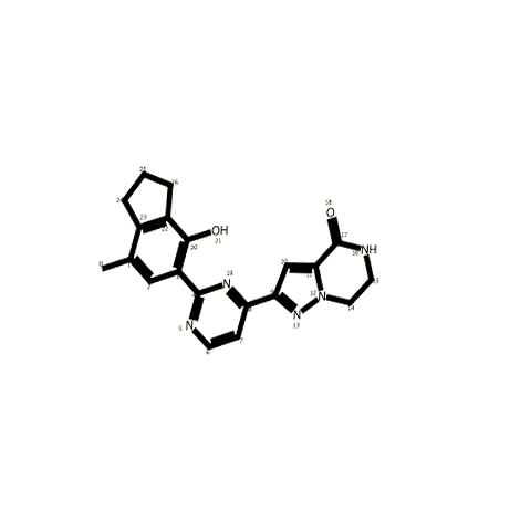 Cc1cc(-c2nccc(-c3cc4n(n3)CCNC4=O)n2)c(O)c2c1CCC2